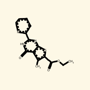 CCOC(=O)c1sc2nc(-c3ccccn3)[nH]c(=O)c2c1C